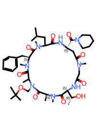 CC(C)CC1C(=O)N[C@H](C(=O)N2CCCCC2)CC(=O)N(C)CC(=O)N[C@@H]([C@@H](C)O)C(=O)N(C)[C@@H](C)C(=O)N(COC(C)(C)C)C(C)C(=O)N(C)[C@@H](Cc2ccccc2)C(=O)N1C